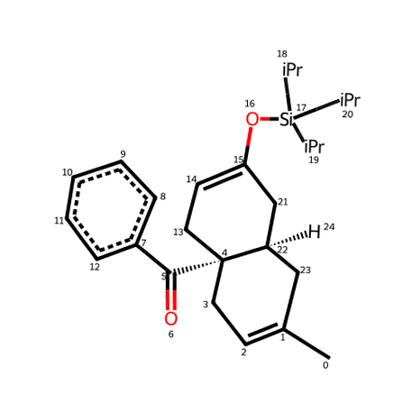 CC1=CC[C@@]2(C(=O)c3ccccc3)CC=C(O[Si](C(C)C)(C(C)C)C(C)C)C[C@H]2C1